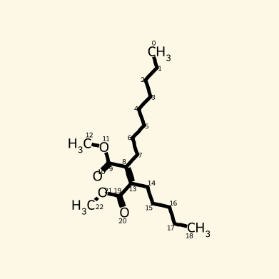 CCCCCCCC/C(C(=O)OC)=C(\CCCCC)C(=O)OC